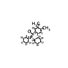 Cc1ccc(C(=O)P(c2ccccc2)c2ccccc2)cc1C